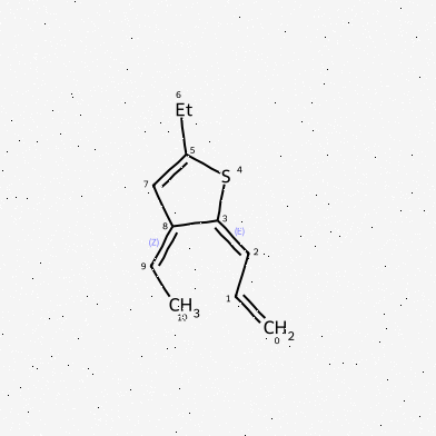 C=C/C=c1/sc(CC)c/c1=C/C